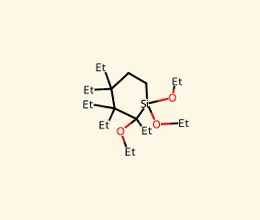 CCOC1(CC)C(CC)(CC)C(CC)(CC)CC[Si]1(OCC)OCC